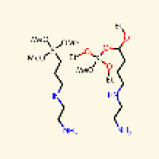 CCOC(CCCNCCN)O[Si](OC)(OCC)OCC.CO[Si](CCCNCCN)(OC)OC